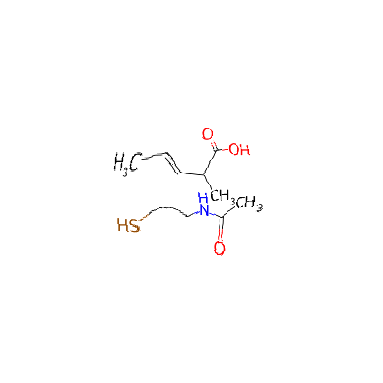 CC(=O)NCCS.CC=CC(C)C(=O)O